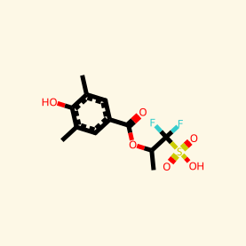 Cc1cc(C(=O)OC(C)C(F)(F)S(=O)(=O)O)cc(C)c1O